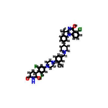 CC1(C)c2ccc(C3CCN(Cc4ccc(N5CCN(c6cc(F)c(C7CCC(=O)NC7=O)c(F)c6)CC5)c(C#N)c4)CC3)cc2-n2c1nc(=O)c1c(Cl)cccc12